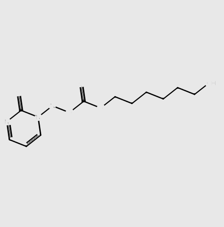 CCCCCCCOC(=O)ONn1cccnc1=O